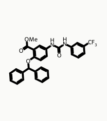 COC(=O)c1cc(NC(=O)Nc2cccc(C(F)(F)F)c2)ccc1OC(c1ccccc1)c1ccccc1